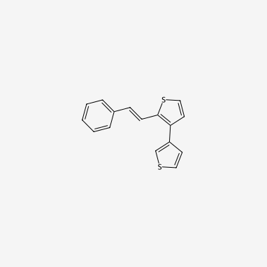 C(=Cc1sccc1-c1ccsc1)c1ccccc1